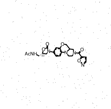 CC(=O)NC[C@H]1CN(c2ccc3c(c2)OCC2CN(C(=O)c4ccno4)CCN32)C(=O)O1